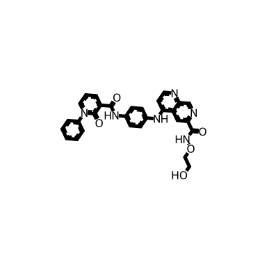 O=C(NOCCO)c1cc2c(Nc3ccc(NC(=O)c4cccn(-c5ccccc5)c4=O)cc3)ccnc2cn1